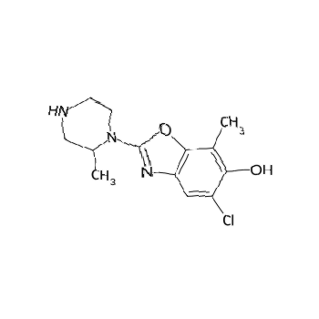 Cc1c(O)c(Cl)cc2nc(N3CCNCC3C)oc12